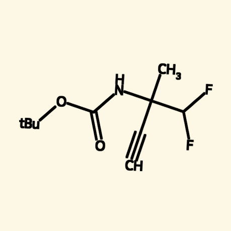 C#CC(C)(NC(=O)OC(C)(C)C)C(F)F